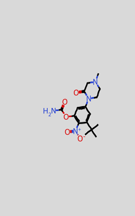 CN1CCN(c2cc(OC(N)=O)c([N+](=O)[O-])c(C(C)(C)C)c2)C(=O)C1